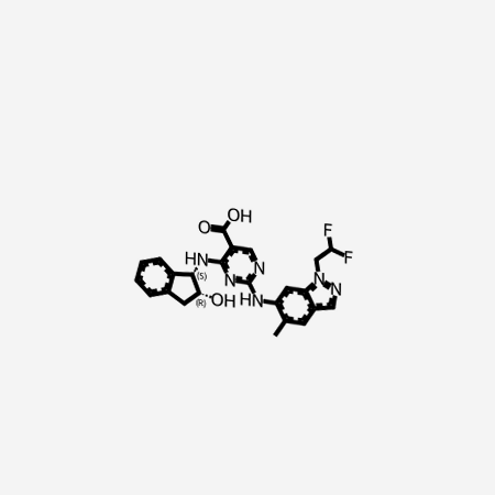 Cc1cc2cnn(CC(F)F)c2cc1Nc1ncc(C(=O)O)c(N[C@H]2c3ccccc3C[C@H]2O)n1